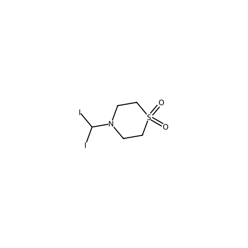 O=S1(=O)CCN(C(I)I)CC1